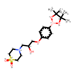 CC1(C)OB(c2ccc(OCC(O)CN3CCS(=O)(=O)CC3)cc2)OC1(C)C